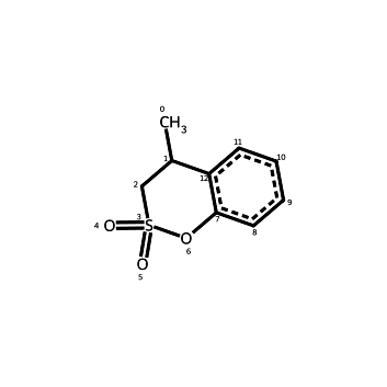 CC1CS(=O)(=O)Oc2ccccc21